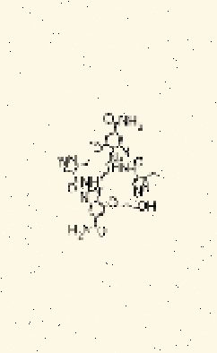 CCc1nn(C)cc1C(=O)Nc1nc2cc(C(N)=O)cc(OC)c2n1C/C=C/Cn1c(NC(=O)c2cn(C)nc2CC)nc2cc(C(N)=O)cc(OCCCO)c21